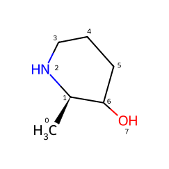 C[C@H]1NCCCC1O